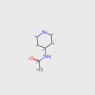 CCC(=O)NC1CC[N]CC1